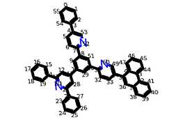 c1ccc(-c2ccc(-c3cc(-c4cc(-c5ccccc5)nc(-c5ccccc5)c4)cc(-c4ccc(-c5cc6ccccc6c6ccccc56)cn4)c3)nc2)cc1